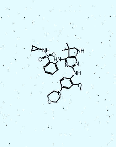 COc1cc(N2CCOCC2)ccc1Nc1nc2c(c(Nc3ccccc3S(=O)(=O)NC3CC3)n1)C(C)(C)CN2